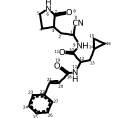 N#CC(CC1CCNC1=O)NC(=O)C(CC1CC1)NC(=O)/C=C/c1ccccc1